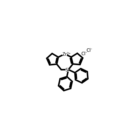 C1=CC2=[C](C1)[Zr+2][C]1=C(C=CC1)[Si](c1ccccc1)(c1ccccc1)C2.[Cl-].[Cl-]